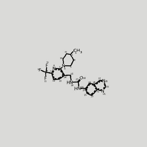 CC1CCN(c2nc(C(F)(F)F)ccc2CNC(=O)Nc2ccc3ncncc3c2)CC1